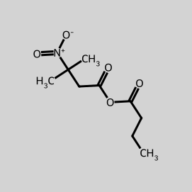 CCCC(=O)OC(=O)CC(C)(C)[N+](=O)[O-]